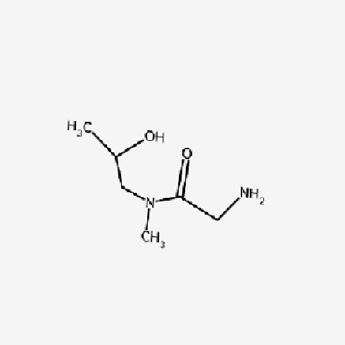 CC(O)CN(C)C(=O)CN